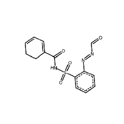 O=CN=Nc1ccccc1S(=O)(=O)NC(=O)C1=CC=CCC1